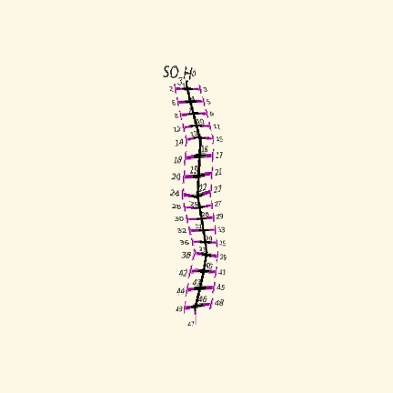 O=S(=O)(O)C(I)(I)C(I)(I)C(I)(I)C(I)(I)C(I)(I)C(I)(I)C(I)(I)C(I)(I)C(I)(I)C(I)(I)C(I)(I)C(I)(I)C(I)(I)C(I)(I)C(I)(I)C(I)(I)I